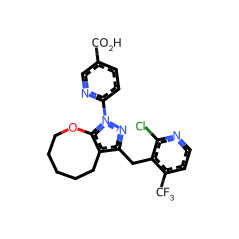 O=C(O)c1ccc(-n2nc(Cc3c(C(F)(F)F)ccnc3Cl)c3c2OCCCCC3)nc1